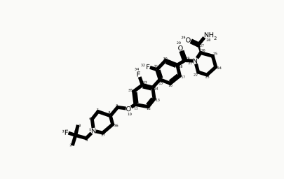 CC(C)(F)CN1CCC(COc2ccc(-c3ccc(C(=O)N4CCCC[C@@H]4C(N)=O)cc3F)c(F)c2)CC1